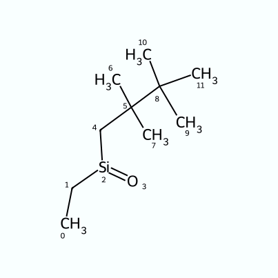 CC[Si](=O)CC(C)(C)C(C)(C)C